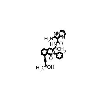 C[C@@H](O)C#Cc1cccc2cc([C@@H](C)NC(=O)c3c(N)nn4cccnc34)n(-c3ccccc3)c(=O)c12